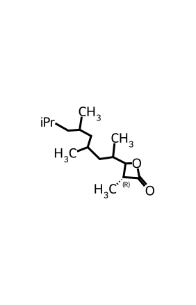 CC(C)CC(C)CC(C)CC(C)C1OC(=O)[C@@H]1C